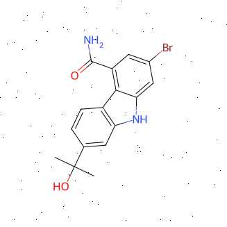 CC(C)(O)c1ccc2c(c1)[nH]c1cc(Br)cc(C(N)=O)c12